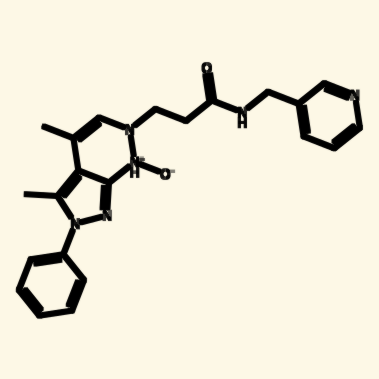 CC1=CN(CCC(=O)NCc2cccnc2)[NH+]([O-])c2nn(-c3ccccc3)c(C)c21